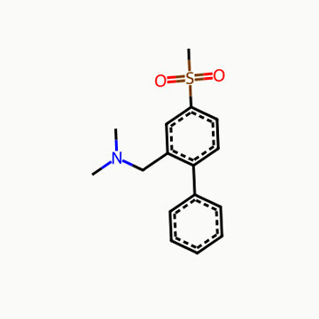 CN(C)Cc1cc(S(C)(=O)=O)ccc1-c1ccccc1